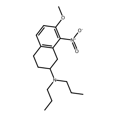 CCCN(CCC)C1CCc2ccc(OC)c([N+](=O)[O-])c2C1